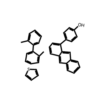 Cc1ccccc1-c1ccccc1C.Oc1ccc(-c2cccc3cc4ccccc4cc23)cc1.c1ccsc1